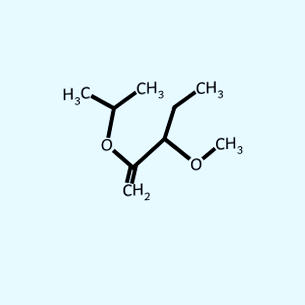 C=C(OC(C)C)C(CC)OC